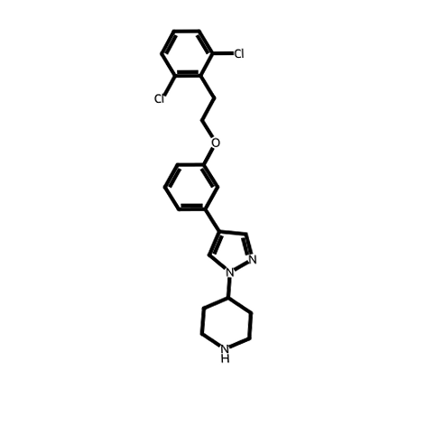 Clc1cccc(Cl)c1CCOc1cccc(-c2cnn(C3CCNCC3)c2)c1